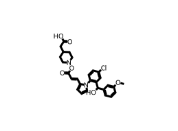 COc1cccc(C(O)c2cc(Cl)ccc2-n2cccc2C=CC(=O)ON2CCC(CC(=O)O)CC2)c1